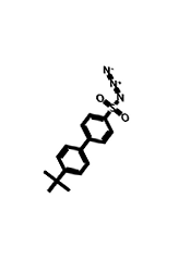 CC(C)(C)c1ccc(-c2ccc(S(=O)(=O)N=[N+]=[N-])cc2)cc1